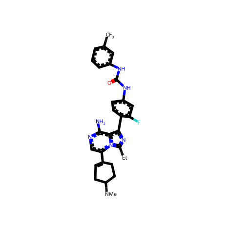 CCc1nc(-c2ccc(NC(=O)Nc3cccc(C(F)(F)F)c3)cc2F)c2c(N)ncc(C3=CCC(NC)CC3)n12